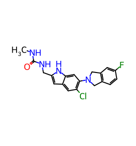 CNC(=O)NCc1cc2cc(Cl)c(N3Cc4ccc(F)cc4C3)cc2[nH]1